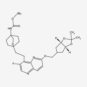 CC(C)(C)OC(=O)NC12CCC(CCc3c(F)cnc4ccc(OCC5C[C@@H]6OC(C)(C)O[C@@H]6C5)nc34)(CC1)OC2